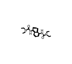 CCN(CC)C(=O)Nc1cccc2c(NC(=O)N(CC)CC)cccc12